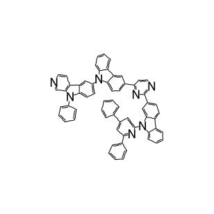 c1ccc(-c2cc(-c3ccccc3)nc(-n3c4ccccc4c4ccc(-c5nccc(-c6ccc7c(c6)c6ccccc6n7-c6ccc7c(c6)c6ccncc6n7-c6ccccc6)n5)cc43)c2)cc1